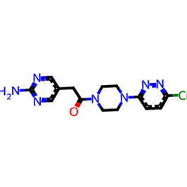 Nc1ncc(CC(=O)N2CCN(c3ccc(Cl)nn3)CC2)cn1